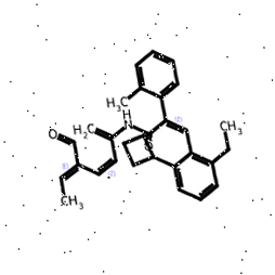 C=C(/C=C\C(C=O)=C/C)NC(=O)/C(=C\c1c(CC)cccc1C1CCC1)c1ccccc1C